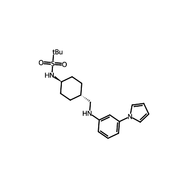 CC(C)(C)S(=O)(=O)N[C@H]1CC[C@H](CNc2cccc(-n3cccc3)c2)CC1